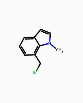 Cn1ccc2cccc(CBr)c21